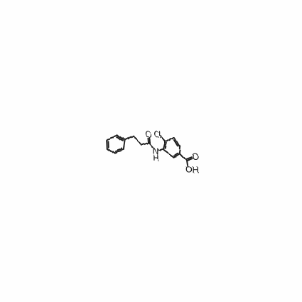 O=C(CCc1ccccc1)Nc1cc(C(=O)O)ccc1Cl